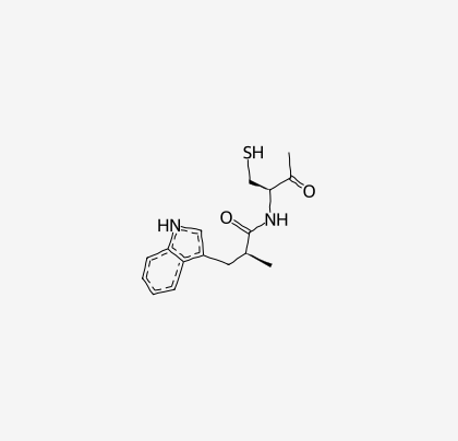 CC(=O)[C@H](CS)NC(=O)[C@@H](C)Cc1c[nH]c2ccccc12